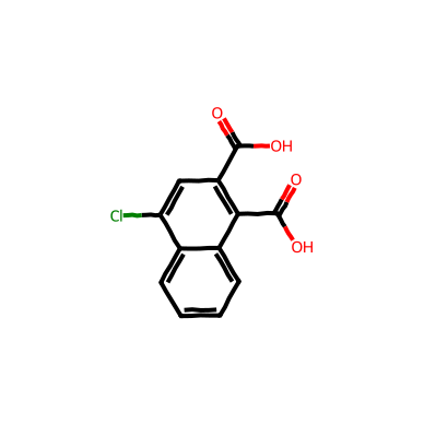 O=C(O)c1cc(Cl)c2ccccc2c1C(=O)O